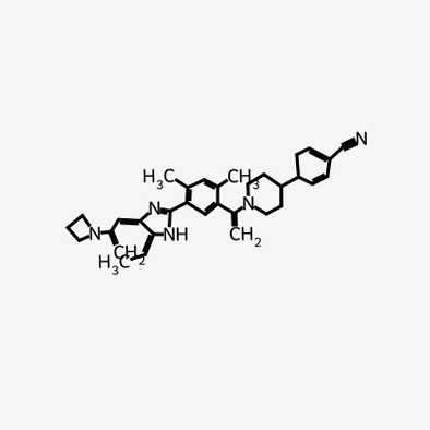 C=C(/C=c1/nc(-c2cc(C(=C)N3CCC(C4C=CC(C#N)=CC4)CC3)c(C)cc2C)[nH]/c1=C/C)N1CCC1